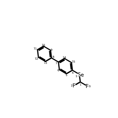 FC(F)[Se]c1ccc(-c2ccccc2)cc1